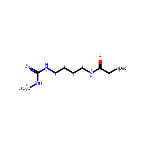 CCCCCCCCCCCC(=O)NCCCCNC(=N)NC(=O)OCC